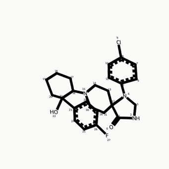 O=C1NCN(c2ccc(Cl)cc2)C12CCN(C1CCCCC1(O)c1ccc(F)cc1)CC2